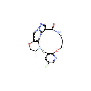 C[C@@H]1COc2cn3ncc4c3nc2N1Cc1cc(F)cnc1OCCCNC4=O